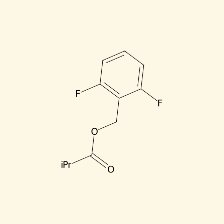 CC(C)C(=O)OCc1c(F)cccc1F